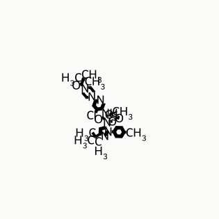 Cc1ccc(-n2nc(C(C)(C)C)cc2N(OS(C)(=O)=O)C(=O)Nc2cnc(N3CCN(C(=O)C(C)(C)C)CC3)cc2Cl)cc1